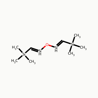 C[Si](C)(C)C=[SiH]O[SiH]=C[Si](C)(C)C